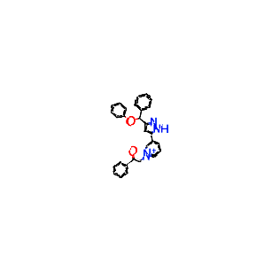 O=C(C[n+]1cccc(-c2cc(C(Oc3ccccc3)c3ccccc3)n[nH]2)c1)c1ccccc1